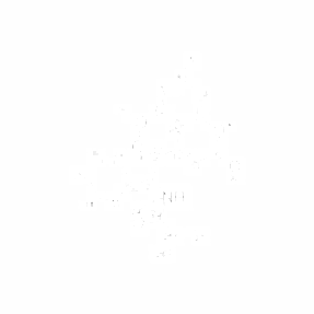 COc1cc(C)cc2oc(=O)cc(-c3oc4ccccc4c3NC(=O)C(C)C)c12